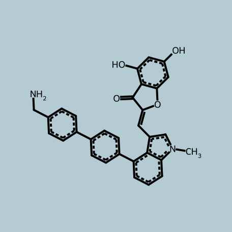 Cn1cc(/C=C2\Oc3cc(O)cc(O)c3C2=O)c2c(-c3ccc(-c4ccc(CN)cc4)cc3)cccc21